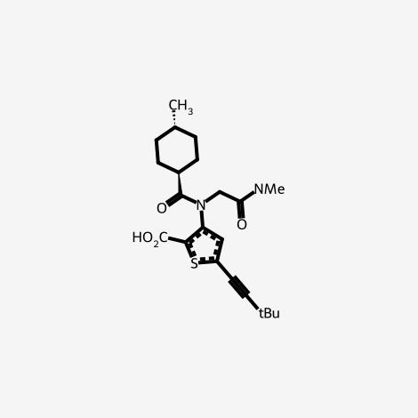 CNC(=O)CN(c1cc(C#CC(C)(C)C)sc1C(=O)O)C(=O)[C@H]1CC[C@H](C)CC1